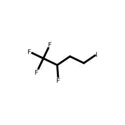 FC(CCI)C(F)(F)F